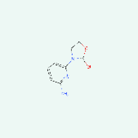 Nc1cccc(N2CCOC2O)n1